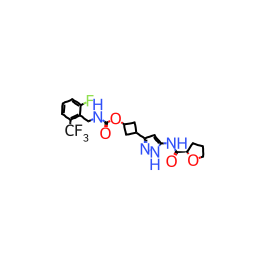 O=C(NCc1c(F)cccc1C(F)(F)F)OC1CC(c2cc(NC(=O)[C@H]3CCCO3)[nH]n2)C1